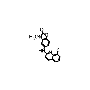 Cn1c(=O)oc2ccc(Nc3ccc4cccc(Cl)c4n3)cc21